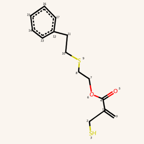 C=C(CS)C(=O)OCCSCCc1ccccc1